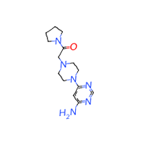 Nc1cc(N2CCN(CC(=O)N3CCCC3)CC2)ncn1